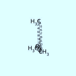 CCCCCCCCCCCCCCC(COC)OC